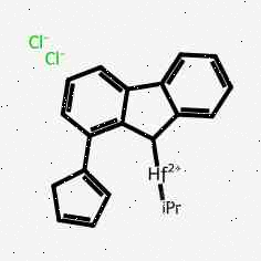 C[CH](C)[Hf+2][CH]1c2ccccc2-c2cccc(C3=CC=CC3)c21.[Cl-].[Cl-]